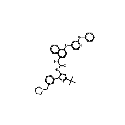 CC(C)(C)c1cc(NC(=O)Nc2ccc(Oc3ccnc(Nc4ccccc4)c3)c3ccccc23)n(-c2cccc(CP3CCCC3)c2)n1